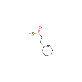 O=C(S)CCC1=CCCCC1